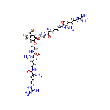 N=C(N)NCCCC[C@H](N)C(=O)NCCCC[C@H](N)C(=O)NCCOc1cc(CS)c(CS)cc1OCCNC(=O)[C@@H](N)CCCCNC(=O)[C@@H](N)CCCCNC(=N)N